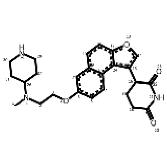 CN(CCOc1ccc2c(ccc3occ(C4CCC(=O)NC4=O)c32)c1)C1CCNCC1